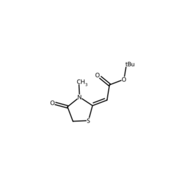 CN1C(=O)CS/C1=C/C(=O)OC(C)(C)C